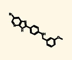 COc1cccc(CNc2ccc(-c3nc4cc(Br)cnc4[nH]3)cc2)c1